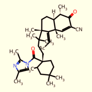 CC(=O)/C=C1/[C@@]2(C)C=C(C#N)C(=O)[C@@H](C)[C@@H]2CC[C@@]1(C)C(C)(C)CC[C@@]1(C(=O)n2cc(C)nc2C)CCC(C)(C)CC1C